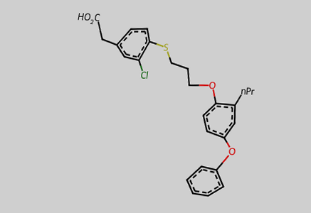 CCCc1cc(Oc2ccccc2)ccc1OCCCSc1ccc(CC(=O)O)cc1Cl